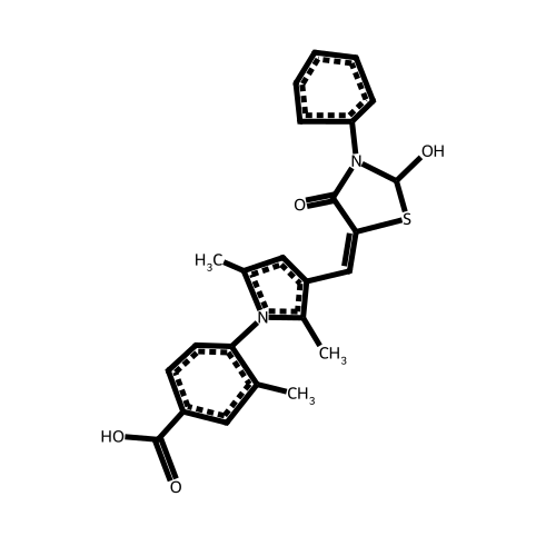 Cc1cc(C(=O)O)ccc1-n1c(C)cc(/C=C2/SC(O)N(c3ccccc3)C2=O)c1C